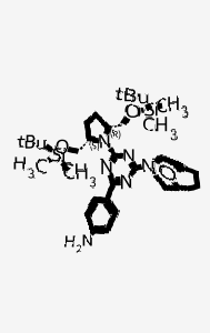 CC(C)(C)[Si](C)(C)OC[C@H]1CC[C@@H](CO[Si](C)(C)C(C)(C)C)N1c1nc(-c2ccc(N)cc2)nc(N2CC3CCC(C2)O3)n1